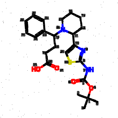 CC(C)(C)OC(=O)Nc1nc(C2CCCCN2C(CCC(=O)O)c2ccccc2)cs1